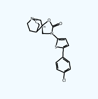 O=C1O[C@]2(CN3CCC2CC3)CN1c1ccc(-c2ccc(Cl)cc2)s1